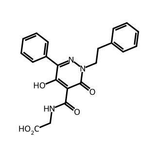 O=C(O)CNC(=O)c1c(O)c(-c2ccccc2)nn(CCc2ccccc2)c1=O